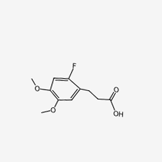 COc1cc(F)c(CCC(=O)O)cc1OC